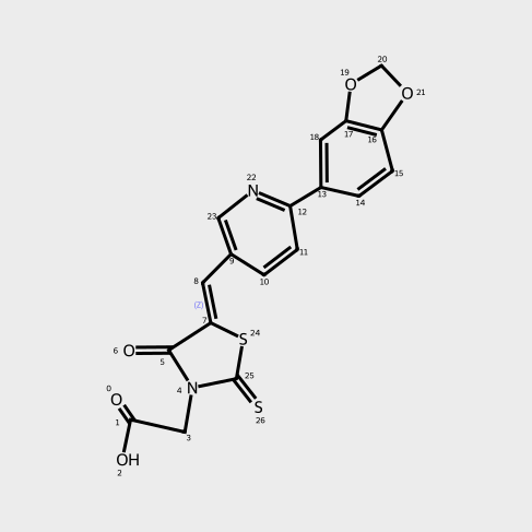 O=C(O)CN1C(=O)/C(=C/c2ccc(-c3ccc4c(c3)OCO4)nc2)SC1=S